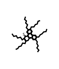 CCCCCCC1=C(CCCCCC)C(=S)c2c(c3cc(CCCCCC)c(CCCCCC)cc3c3cc(CCCCCC)c(CCCCCC)cc23)C1